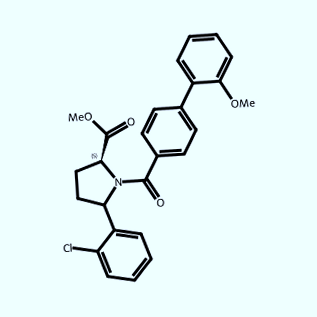 COC(=O)[C@@H]1CCC(c2ccccc2Cl)N1C(=O)c1ccc(-c2ccccc2OC)cc1